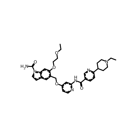 CCOCCOc1cc2c(ccn2C(N)=O)cc1COc1ccnc(NC(=O)c2ccc(C3CCN(CC)CC3)nc2)c1